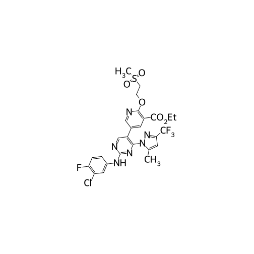 CCOC(=O)c1cc(-c2cnc(Nc3ccc(F)c(Cl)c3)nc2-n2nc(C(F)(F)F)cc2C)cnc1OCCS(C)(=O)=O